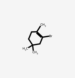 CC1=C(Br)CC(C)(C)CC1